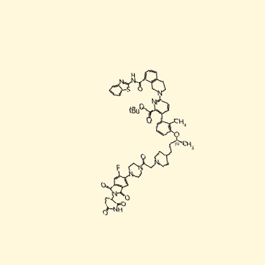 Cc1c(O[C@@H](C)CCC2CCN(CC(=O)N3CCN(c4cc5c(cc4F)C(=O)N(C4CCC(=O)NC4=O)C5=O)CC3)CC2)cccc1-c1ccc(N2CCc3cccc(C(=O)Nc4nc5ccccc5s4)c3C2)nc1C(=O)OC(C)(C)C